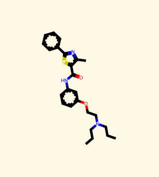 CCCN(CCC)CCOc1cccc(NC(=O)c2sc(-c3ccccc3)nc2C)c1